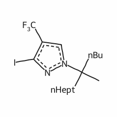 CCCCCCCC(C)(CCCC)n1cc(C(F)(F)F)c(I)n1